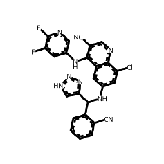 N#Cc1ccccc1C(Nc1cc(Cl)c2ncc(C#N)c(Nc3cnc(F)c(F)c3)c2c1)c1c[nH]nn1